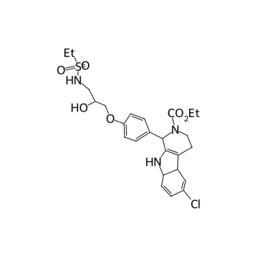 CCOC(=O)N1CCC2=C(NC3C=CC(Cl)=CC23)C1c1ccc(OCC(O)CNS(=O)(=O)CC)cc1